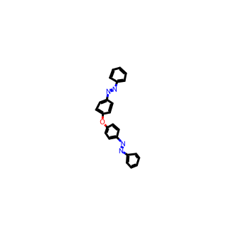 c1ccc(N=Nc2ccc(Oc3ccc(N=Nc4ccccc4)cc3)cc2)cc1